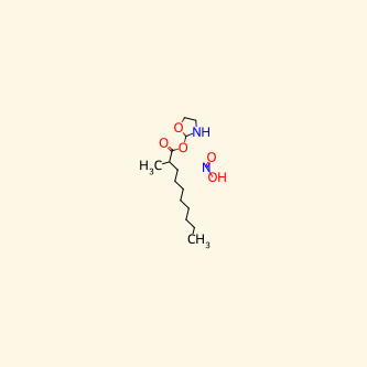 CCCCCCCCC(C)C(=O)OC1NCCO1.O=NO